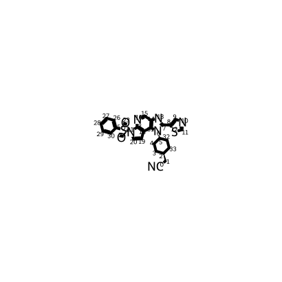 N#CC[C@H]1CC[C@H](n2c(-c3cncs3)nc3cnc4c(ccn4S(=O)(=O)c4ccccc4)c32)CC1